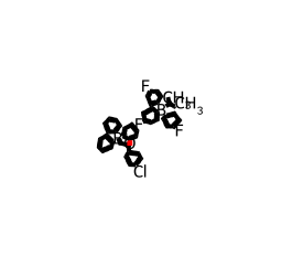 CCC(C)[B-](c1ccc(F)cc1)(c1ccc(F)cc1)c1ccc(F)cc1.O=C(C[B-](c1ccccc1)(c1ccccc1)c1ccccc1)c1ccc(Cl)cc1